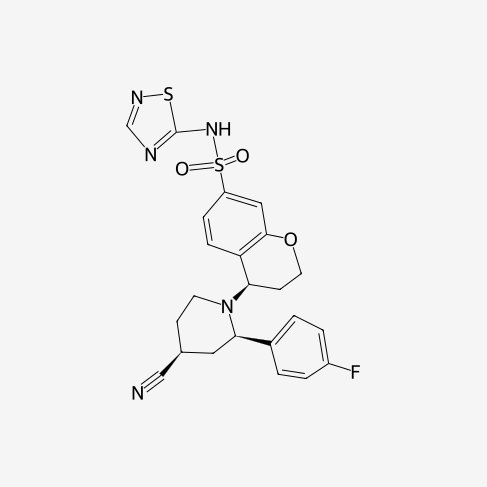 N#C[C@H]1CCN([C@@H]2CCOc3cc(S(=O)(=O)Nc4ncns4)ccc32)[C@@H](c2ccc(F)cc2)C1